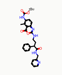 Cc1c(NC(=O)OC(C)(C)C)ccc2nc(NCCC(C(=O)NCc3ccccn3)c3ccccc3)oc(=O)c12